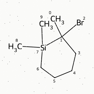 CC1(Br)CCCC[Si]1(C)C